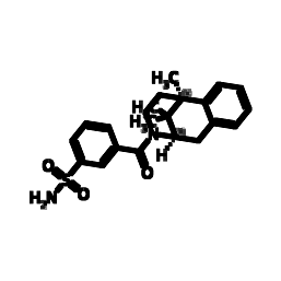 CC1(C)[C@H]2Cc3ccccc3[C@]1(C)CCN2C(=O)c1cccc(S(N)(=O)=O)c1